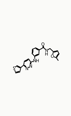 Cc1ccc(CNC(=O)c2cccc(Nc3ccc(-c4ccsc4)nn3)c2)o1